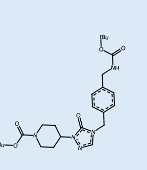 CC(C)(C)OC(=O)NCc1ccc(Cn2cnn(C3CCN(C(=O)OC(C)(C)C)CC3)c2=O)cc1